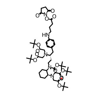 CC(C)(C)OC(=O)CN(CC(=O)OC(C)(C)C)[C@@H](CCN(C(=O)OC(C)(C)C)C1CCCC[C@@H]1N(CC(=O)OC(C)(C)C)CC(=O)OC(C)(C)C)Cc1ccc(NCCCC(=O)ON2C(=O)CCC2=O)cc1